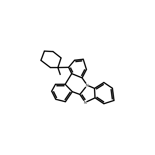 CC1(c2cccc3c2c2ccccc2c2nc4ccccc4n32)CCCCC1